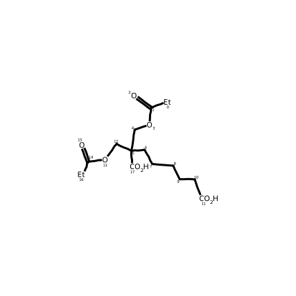 CCC(=O)OCC(CCCCCC(=O)O)(COC(=O)CC)C(=O)O